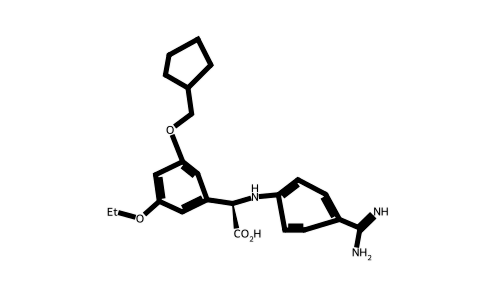 CCOc1cc(OCC2CCCC2)cc([C@@H](Nc2ccc(C(=N)N)cc2)C(=O)O)c1